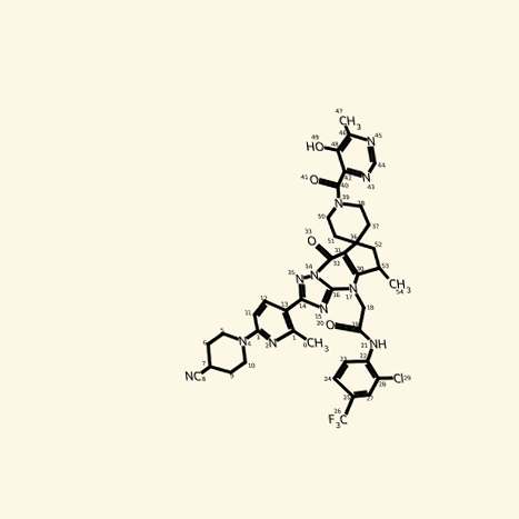 Cc1nc(N2CCC(C#N)CC2)ccc1-c1nc2n(CC(=O)Nc3ccc(C(F)(F)F)cc3Cl)c3c(c(=O)n2n1)C1(CCN(C(=O)c2ncnc(C)c2O)CC1)CC3C